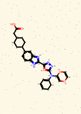 O=C(O)CC1CCC(c2ccc3[nH]c(-c4nnc(N(C5=CC=CCC5)C5=COC=CO5)o4)nc3c2)CC1